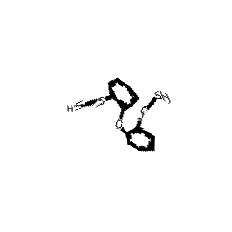 SSc1ccccc1Oc1ccccc1SS